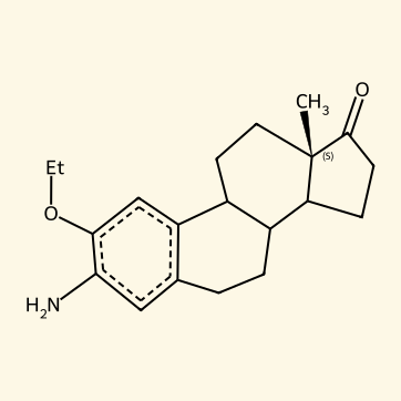 CCOc1cc2c(cc1N)CCC1C2CC[C@]2(C)C(=O)CCC12